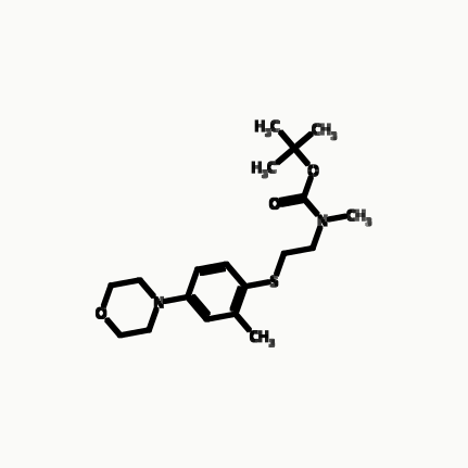 Cc1cc(N2CCOCC2)ccc1SCCN(C)C(=O)OC(C)(C)C